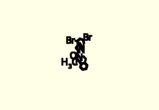 CN1c2ccccc2CCN1C(=O)c1cc2c(Br)cc(Br)cn2n1